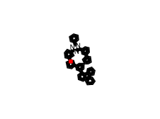 c1ccc(-c2cccc(-c3nc(-c4ccccc4)nc(-c4cccc(-c5cccc(-c6cccc(-c7cccc8c7-c7ccccc7C87CCCCC7)c6)c5)c4)n3)c2)cc1